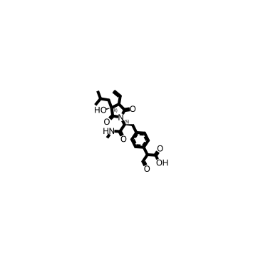 C=CC1C(=O)N([C@@H](Cc2ccc(C(C=O)C(=O)O)cc2)C(=O)NC)C(=O)[C@@]1(O)CC(C)C